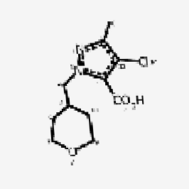 Cc1nn(CC2CCOCC2)c(C(=O)O)c1Cl